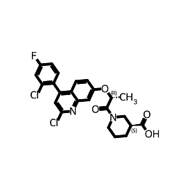 C[C@@H](Oc1ccc2c(-c3ccc(F)cc3Cl)cc(Cl)nc2c1)C(=O)N1CCC[C@H](C(=O)O)C1